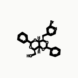 OC[C@H]1OC(c2ccccc2)O[C@@H]2[C@@H]1OC(c1ccccc1)O[C@@H]2Cc1ccnc(Br)c1